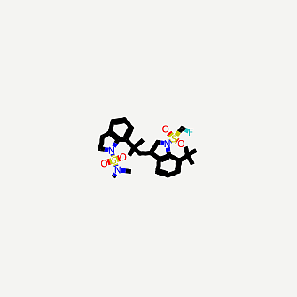 CN(C)S(=O)(=O)N1CCc2cccc(C(C)(C)CC3CN(S(=O)(=O)CF)c4c3cccc4C(C)(C)C)c21